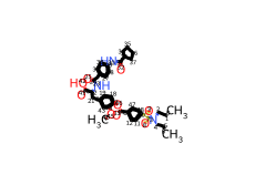 CCCN(CCC)S(=O)(=O)c1ccc(C(=O)Oc2ccc(CC(NC(=O)c3ccc(NC(=O)C4CCCC4)cc3)C(=O)O)cc2OC)cc1